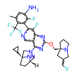 Cc1cc(N)c(F)c(-c2ncc3c(N4C[C@@H]5CC[C@](C6CC6)(C4)N5)nc(OC[C@@]45CCCN4C/C(=C\F)C5)nc3c2F)c1C(F)(F)F